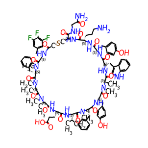 CC(C)[C@@H]1NC(=O)[C@H](CCC(=O)O)NC(=O)[C@@H](C)N(C)C(=O)[C@H](C)N(C)C(=O)[C@H](Cc2ccccc2)N(C)C(=O)[C@H](Cc2cc(F)c(F)c(F)c2)NC(=O)CSC[C@@H](C(=O)NCC(N)=O)NC(=O)[C@H](CCCN)NC(=O)[C@H](Cc2ccc(O)cc2)NC(=O)[C@H](Cc2c[nH]c3ccccc23)NC(=O)[C@@H](C)N(C)C(=O)[C@H](Cc2ccc(O)cc2)NC(=O)[C@H](Cc2ccccc2)N(C)C1=O